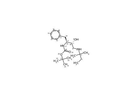 CCC(C)(C)NC[C@@H](O)[C@H](Cc1ccccc1)NC(=O)OC(C)(C)C